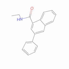 CCNC(=O)c1cc(-c2ccccc2)cc2ccccc12